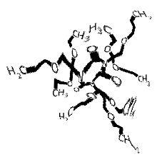 C=CCOCC(OCC)(OCC)n1c(=O)n(C(COCC=C)(OCC)OCC)c(=O)n(C(COCC=C)(OCC)OCC)c1=O